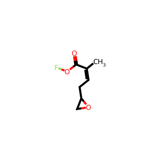 CC(=CCC1CO1)C(=O)OF